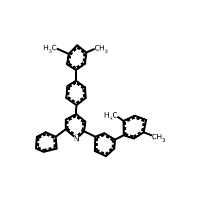 Cc1cc(C)cc(-c2ccc(-c3cc(-c4ccccc4)nc(-c4cccc(-c5cc(C)ccc5C)c4)c3)cc2)c1